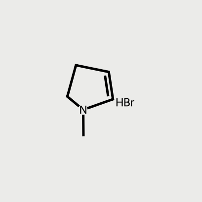 Br.CN1C=CCC1